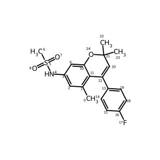 Cc1cc(NS(C)(=O)=O)cc2c1C(c1ccc(F)cc1)=CC(C)(C)O2